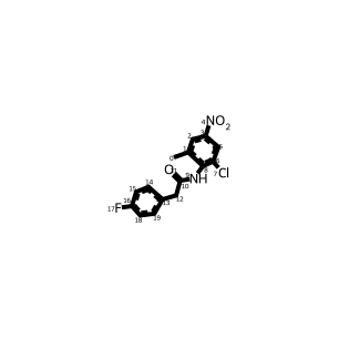 Cc1cc([N+](=O)[O-])cc(Cl)c1NC(=O)Cc1ccc(F)cc1